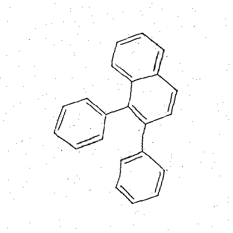 [c]1ccccc1-c1ccc2ccccc2c1-c1ccccc1